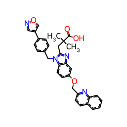 CC(C)(Cc1nc2cc(OCc3ccc4ccccc4n3)ccc2n1Cc1ccc(-c2cnoc2)cc1)C(=O)O